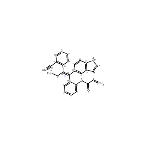 C=CC(=O)Oc1ccccc1/C(=C(\CC)c1ccncc1C#N)c1ccc2[nH]ncc2c1